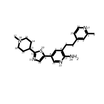 Cc1cc(CCc2cc(-c3cnc(C4CCN(C)CC4)s3)cnc2N)ccn1